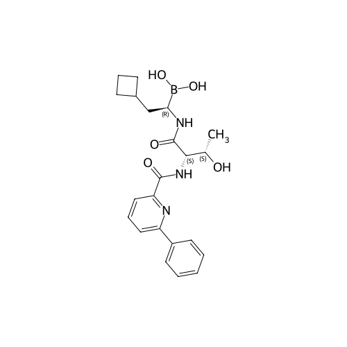 C[C@H](O)[C@H](NC(=O)c1cccc(-c2ccccc2)n1)C(=O)N[C@@H](CC1CCC1)B(O)O